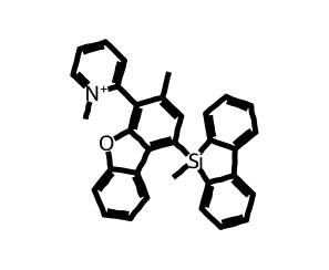 Cc1cc([Si]2(C)c3ccccc3-c3ccccc32)c2c(oc3ccccc32)c1-c1cccc[n+]1C